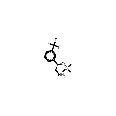 C[Si](C)(C)O[C@@H](CN)c1cccc(C(F)(F)F)c1